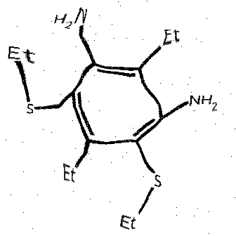 CCSc1c(N)c(CC)c(N)c(SCC)c1CC